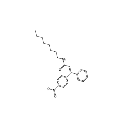 CCCCCCCCNC(=O)/C=C(/c1ccccc1)c1ccc([N+](=O)[O-])cc1